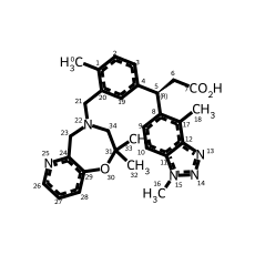 Cc1ccc([C@@H](CC(=O)O)c2ccc3c(nnn3C)c2C)cc1CN1Cc2ncccc2OC(C)(C)C1